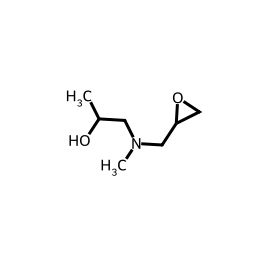 CC(O)CN(C)CC1CO1